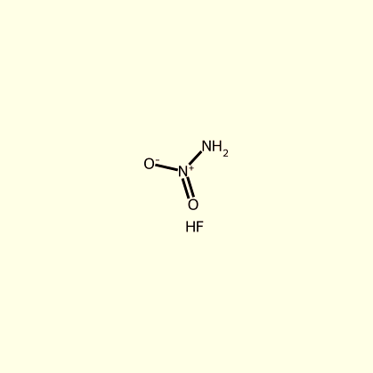 F.N[N+](=O)[O-]